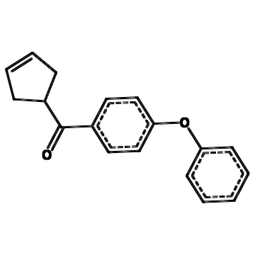 O=C(c1ccc(Oc2ccccc2)cc1)C1CC=CC1